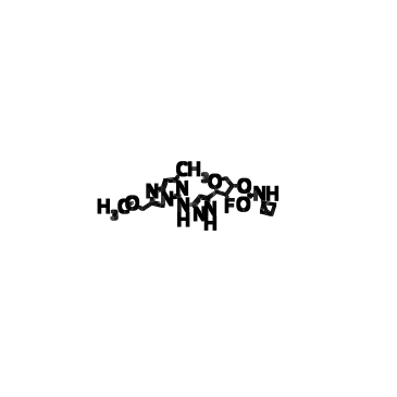 COCc1cn2c(Nc3cc([C@H]4OC[C@@H](OC(=O)NC56CC(C5)C6)[C@H]4F)[nH]n3)nc(C)cc2n1